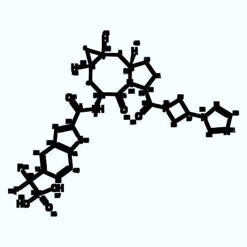 O=C(N[C@H]1C[C@@H]2C[C@@H]2C[C@H]2CC[C@@H](C(=O)N3CC(n4ccnc4)C3)N2C1=O)c1cc2cc(C(F)(F)P(=O)(O)O)ccc2s1